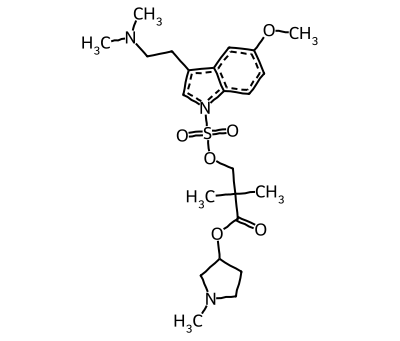 COc1ccc2c(c1)c(CCN(C)C)cn2S(=O)(=O)OCC(C)(C)C(=O)OC1CCN(C)C1